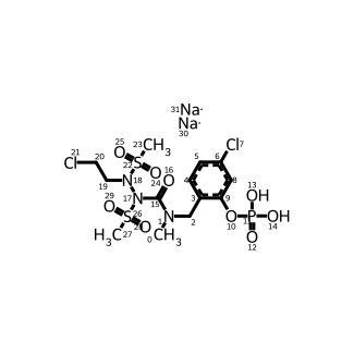 CN(Cc1ccc(Cl)cc1OP(=O)(O)O)C(=O)N(N(CCCl)S(C)(=O)=O)S(C)(=O)=O.[Na].[Na]